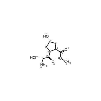 COC(=O)[C@@H]1C[C@@H](O)CN1C(=O)CN.Cl